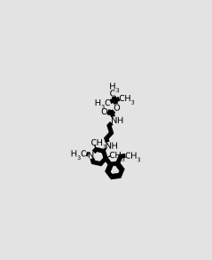 CCc1ccccc1[C@@]1(C)CCN(C)[C@H](C)[C@H]1NCCCNC(=O)OC(C)(C)C